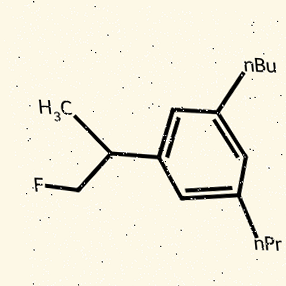 CCCCc1cc(CCC)cc([C](C)CF)c1